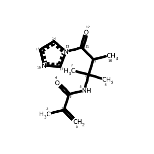 C=C(C)C(=O)NC(C)(C)C(C)C(=O)n1ccnc1